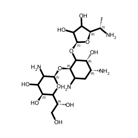 C[C@H](N)[C@H]1O[C@@H](OC2[C@H](O[C@H]3OC([C@H](O)CO)[C@@H](O)C(O)C3N)C(N)C[C@@H](N)[C@H]2O)C(O)C1O